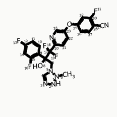 CN1NN=CN1CC(O)(c1ccc(F)cc1F)C(F)(F)c1ccc(Oc2ccc(C#N)c(F)c2)cn1